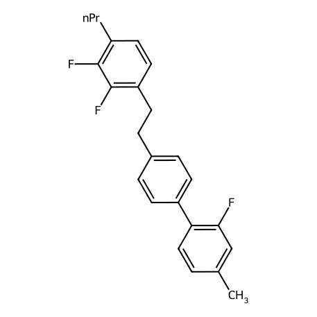 CCCc1ccc(CCc2ccc(-c3ccc(C)cc3F)cc2)c(F)c1F